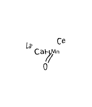 [CaH2].[Ce].[La].[O]=[Mn]